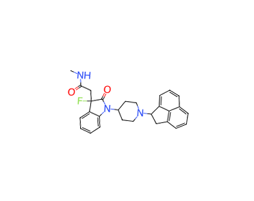 CNC(=O)CC1(F)C(=O)N(C2CCN(C3Cc4cccc5cccc3c45)CC2)c2ccccc21